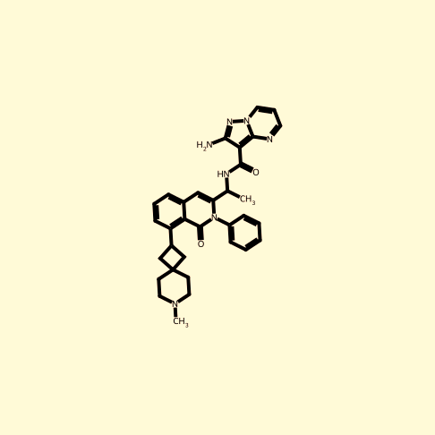 CC(NC(=O)c1c(N)nn2cccnc12)c1cc2cccc(C3CC4(CCN(C)CC4)C3)c2c(=O)n1-c1ccccc1